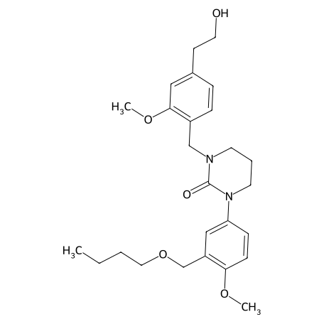 CCCCOCc1cc(N2CCCN(Cc3ccc(CCO)cc3OC)C2=O)ccc1OC